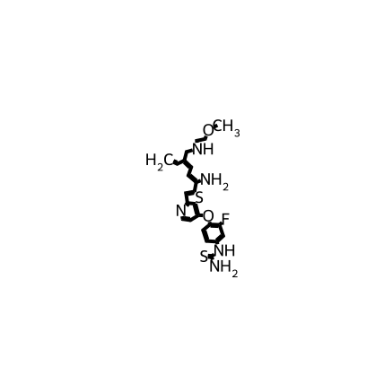 C=C/C(=C\C=C(/N)c1cc2nccc(Oc3ccc(NC(N)=S)cc3F)c2s1)CNCCOC